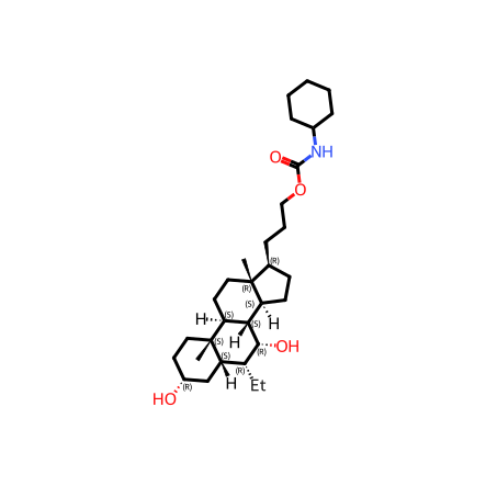 CC[C@H]1[C@@H](O)[C@@H]2[C@H](CC[C@]3(C)[C@@H](CCCOC(=O)NC4CCCCC4)CC[C@@H]23)[C@@]2(C)CC[C@@H](O)C[C@@H]12